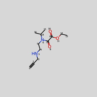 C#CCNCCN(C(=O)C(=O)OCC)C(C)C